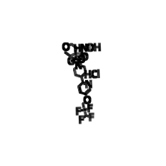 Cl.O=C(NO)C1(S(=O)(=O)N2CCC(c3ccc(OCC(F)(F)C(F)F)cn3)CC2)CCOCC1